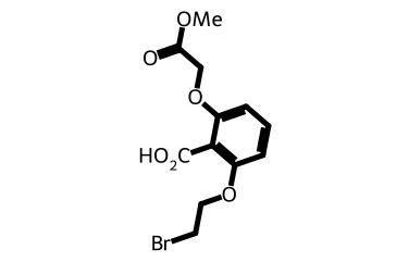 COC(=O)COc1cccc(OCCBr)c1C(=O)O